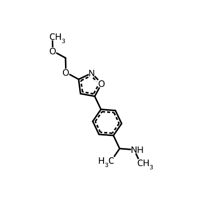 CNC(C)c1ccc(-c2cc(OCOC)no2)cc1